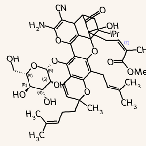 COC(=O)/C(C)=C\CC1(O)C(=O)C2CC(C(C)C)C13Oc1c(CC=C(C)C)c4c(c(O[C@H]5O[C@@H](CO)[C@H](O)[C@@H](O)[C@@H]5O)c1C1=C3C2C(C#N)=C(N)O1)C=CC(C)(CCC=C(C)C)O4